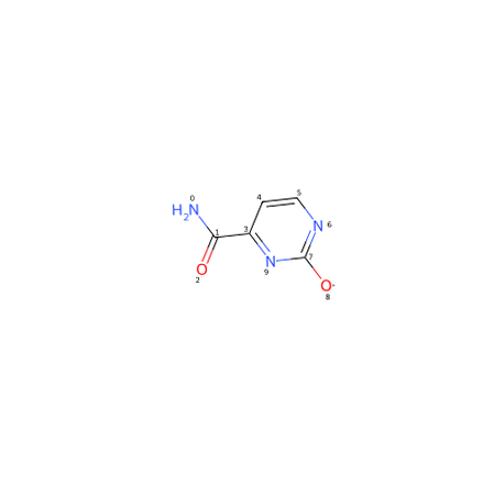 NC(=O)c1ccnc([O])n1